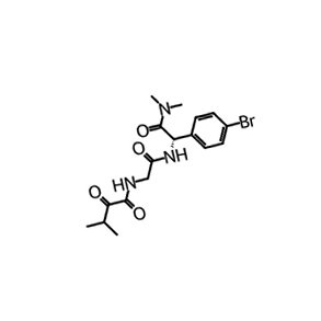 CC(C)C(=O)C(=O)NCC(=O)N[C@H](C(=O)N(C)C)c1ccc(Br)cc1